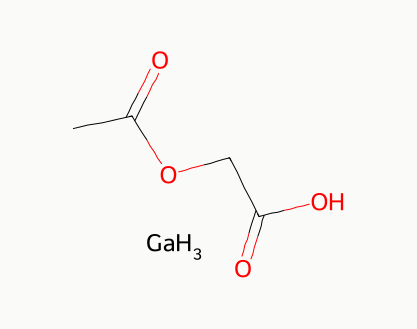 CC(=O)OCC(=O)O.[GaH3]